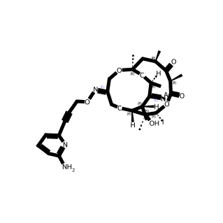 CC(=O)/N=C1\[C@H](C)C[C@]2(C)C[C@@H](C)C(=O)[C@@H](C)C(=O)O[C@H](I)[C@@](C)(O)[C@H](CC/C(=N\OCC#Cc3cccc(N)n3)CO2)[C@H]1C